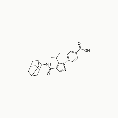 CC(C)c1c(C(=O)NC2C3CC4CC(C3)CC2C4)cnn1-c1ccc(C(=O)O)cc1